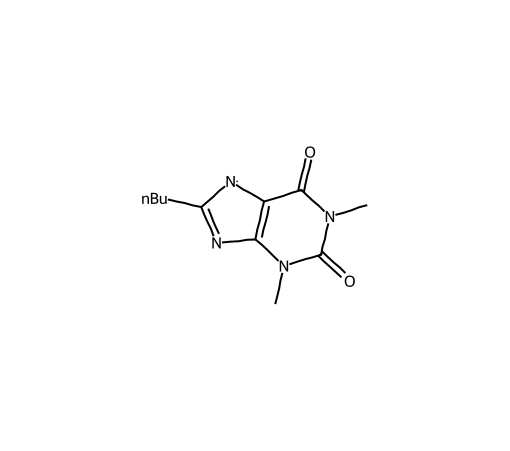 CCCCC1=Nc2c(c(=O)n(C)c(=O)n2C)[N]1